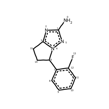 Nc1nc2n(n1)C(c1ccccc1F)CC2